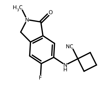 CN1Cc2cc(F)c(NC3(C#N)CCC3)cc2C1=O